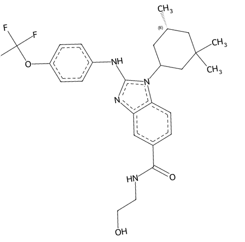 C[C@H]1CC(n2c(Nc3ccc(OC(F)(F)F)cc3)nc3cc(C(=O)NCCO)ccc32)CC(C)(C)C1